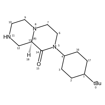 CC(C)(C)C1CCC(N2CCN3CCNC[C@@H]3C2=O)CC1